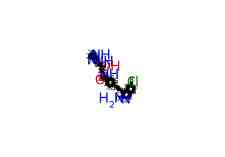 Nc1ncc2ccc(Cl)cc2c1C#Cc1ccc(C(=O)NCC(O)CNC2=NCCN2)cc1